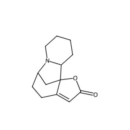 O=C1C=C2CCC3CC2(O1)C1CCCCN31